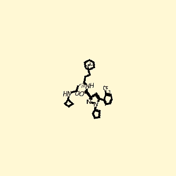 O=C(C[C@H](CCN1CC2CCC1CC2)NC(=O)c1cc(-c2ccccc2C(F)(F)F)n(C2CCCC2)n1)NC1CCC1